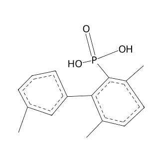 Cc1cccc(-c2c(C)ccc(C)c2P(=O)(O)O)c1